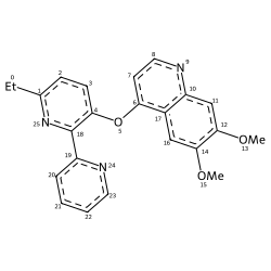 CCc1ccc(Oc2ccnc3cc(OC)c(OC)cc23)c(-c2ccccn2)n1